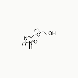 Cn1cc(C2CCC(CCO)O2)c(=O)[nH]c1=O